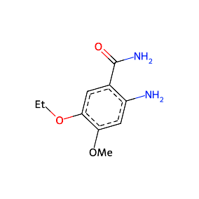 CCOc1cc(C(N)=O)c(N)cc1OC